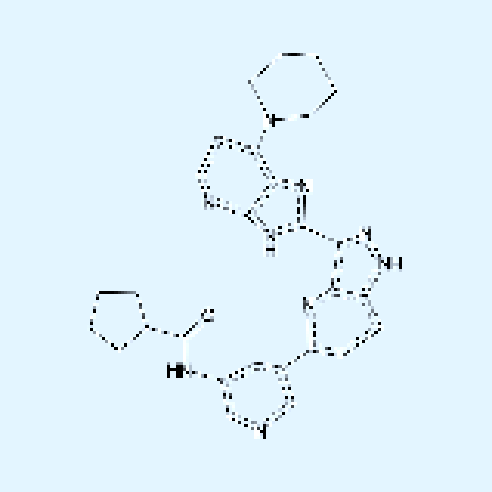 O=C(Nc1cncc(-c2ccc3[nH]nc(-c4nc5c(N6CCCCC6)ccnc5[nH]4)c3n2)c1)C1CCCC1